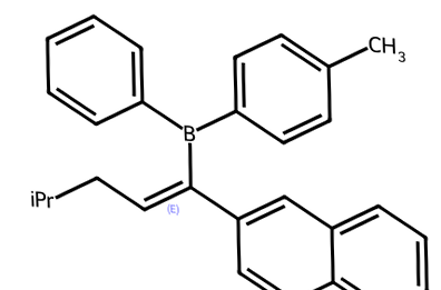 Cc1ccc(B(/C(=C\CC(C)C)c2ccc3ccccc3c2)c2ccccc2)cc1